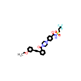 CCOc1cccc(C#Cc2ccccc2C(=O)N2CCN(c3ccc(C(=O)NS(=O)(=O)CCC(F)(F)F)cc3)CC2)c1